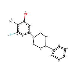 N#Cc1c(O)cc(C2CCC(c3ccccc3)CC2)cc1F